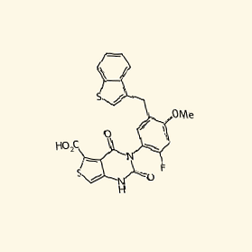 COc1cc(F)c(-n2c(=O)[nH]c3csc(C(=O)O)c3c2=O)cc1Cc1csc2ccccc12